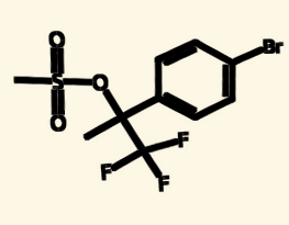 CC(OS(C)(=O)=O)(c1ccc(Br)cc1)C(F)(F)F